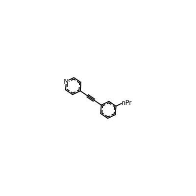 C[CH]Cc1cccc(C#Cc2ccncc2)c1